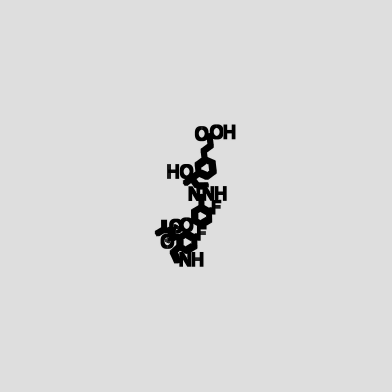 CC(C)S(=O)(=O)c1c(Oc2ccc(F)c(-c3nc(C(C)(O)c4cccc(CCC(=O)O)c4)c[nH]3)c2)c(F)cc2[nH]ccc12